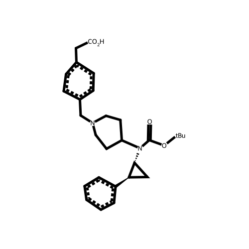 CC(C)(C)OC(=O)N(C1CCN(Cc2ccc(CC(=O)O)cc2)CC1)[C@@H]1C[C@H]1c1ccccc1